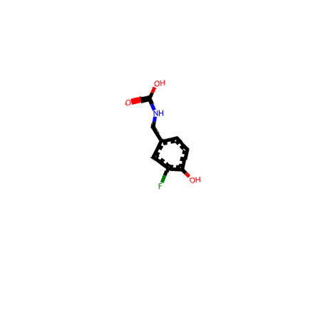 O=C(O)NCc1ccc(O)c(F)c1